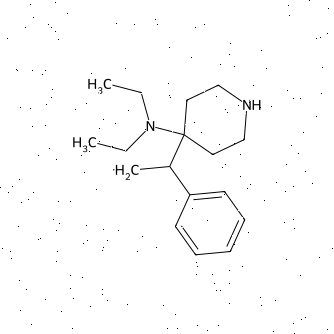 [CH2]C(c1ccccc1)C1(N(CC)CC)CCNCC1